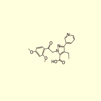 CCc1c(-c2cccnc2)nn(CC(=O)c2ccc(OC)cc2OC)c1C(=O)O